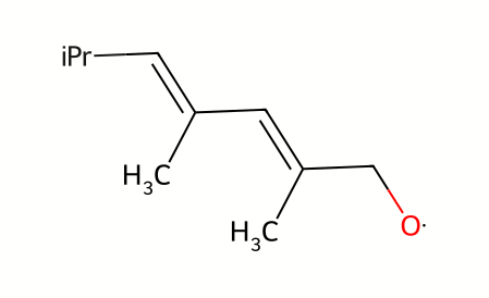 CC(=C\C(C)C)/C=C(\C)C[O]